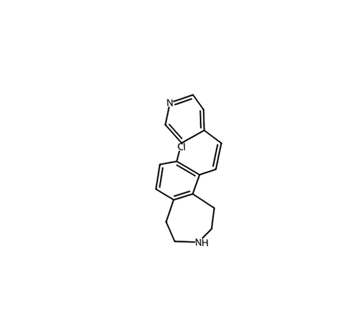 Clc1ccc2c(c1/C=C\c1ccncc1)CCNCC2